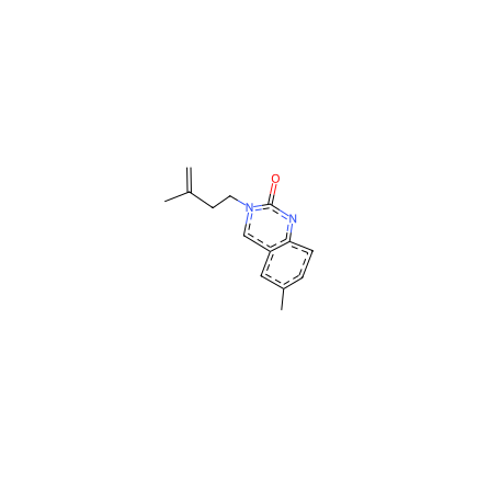 C=C(C)CCn1cc2cc(C)ccc2nc1=O